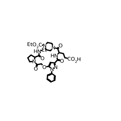 CCNC(=O)C1CCCN1C(=O)COc1cc(C(=O)NC(CCC(=O)O)C(=O)N2CCN(C(=O)OCC)CC2)nn1-c1ccccc1